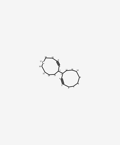 C1#CC(C2C#CCCCCCCC2)CCCCCCC1